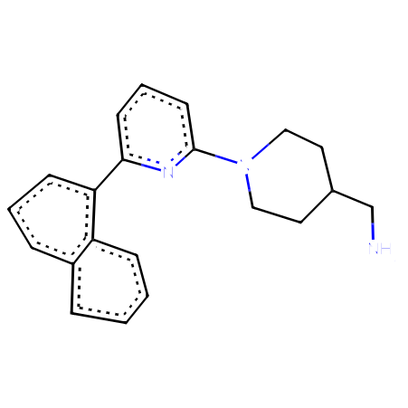 NCC1CCN(c2cccc(-c3cccc4ccccc34)n2)CC1